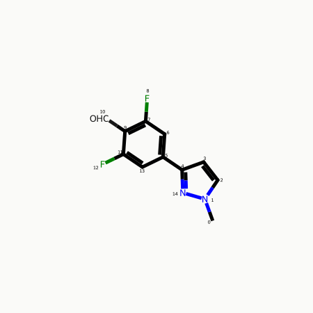 Cn1ccc(-c2cc(F)c(C=O)c(F)c2)n1